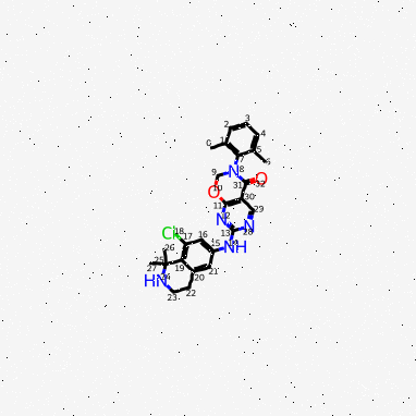 Cc1cccc(C)c1N1COc2nc(Nc3cc(Cl)c4c(c3)CCNC4(C)C)ncc2C1=O